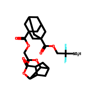 O=C(COC(=O)C12CC3CC(C1)CC(C(=O)OCC(F)(F)S(=O)(=O)O)(C3)C2)OC1C2CC3C(=O)OC1C3C2